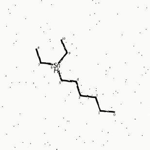 CCCCC[CH2][SnH]([CH2]C)[CH2]C